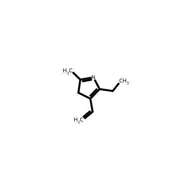 C=CC1=C(CC)N=C(C)C1